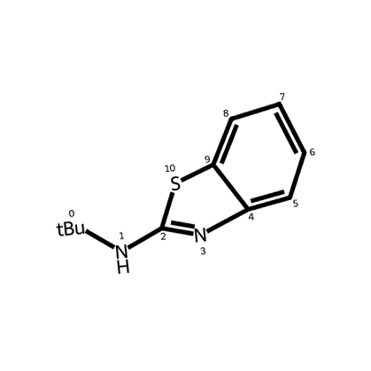 CC(C)(C)Nc1nc2ccccc2s1